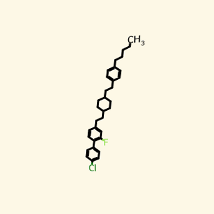 CCCCCc1ccc(CCC2CCC(CCc3ccc(-c4ccc(Cl)cc4)c(F)c3)CC2)cc1